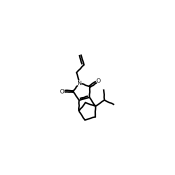 C=CCN1C(=O)C2=C(C1=O)C1(C(C)C)CCC2C1